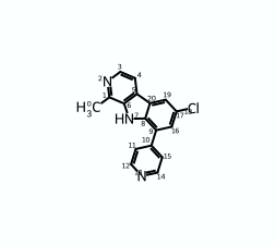 Cc1nccc2c1[nH]c1c(-c3ccncc3)cc(Cl)cc12